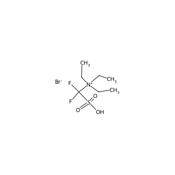 CC[N+](CC)(CC)C(F)(F)S(=O)(=O)O.[Br-]